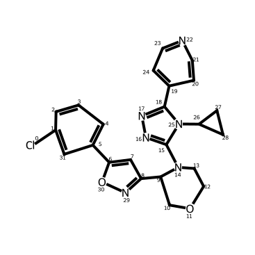 Clc1cccc(-c2cc(C3COCCN3c3nnc(-c4ccncc4)n3C3CC3)no2)c1